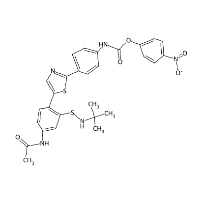 CC(=O)Nc1ccc(-c2cnc(-c3ccc(NC(=O)Oc4ccc([N+](=O)[O-])cc4)cc3)s2)c(SNC(C)(C)C)c1